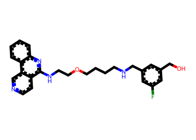 OCc1cc(F)cc(CNCCCCOCCNc2nc3ccccc3c3cnccc23)c1